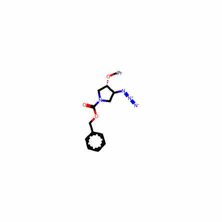 CC(C)O[C@H]1CN(C(=O)OCc2ccccc2)CC1N=[N+]=[N-]